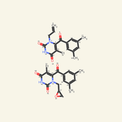 C=CCn1c(C(=O)c2cc(C)cc(C)c2)c(CC)c(=O)[nH]c1=O.CCc1c(C(=O)c2cc(C)cc(C)c2)n(CC2CO2)c(=O)[nH]c1=O